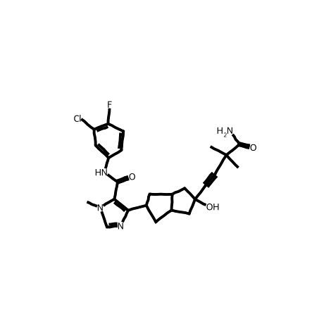 Cn1cnc(C2CC3CC(O)(C#CC(C)(C)C(N)=O)CC3C2)c1C(=O)Nc1ccc(F)c(Cl)c1